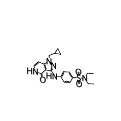 CCN(CC)S(=O)(=O)c1ccc(Nc2nn(CC3CC3)c3cc[nH]c(=O)c23)cc1